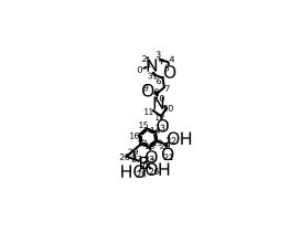 C[N+]1(C)CCOC(CC(=O)N2CC(Oc3ccc4c(c3C(=O)O)O[B-](O)(O)C3CC43)C2)C1